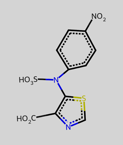 O=C(O)c1ncsc1N(c1ccc([N+](=O)[O-])cc1)S(=O)(=O)O